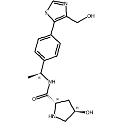 C[C@H](NC(=O)[C@@H]1C[C@@H](O)CN1)c1ccc(-c2scnc2CO)cc1